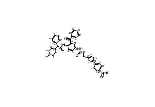 CN1CCN(C(C(=O)Nc2ccc(NC(=O)C=Cc3ccc(-c4ccc([N+](=O)[O-])cc4)o3)cc2C(=O)c2ccccc2)c2ccccc2)CC1